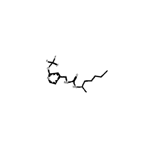 CCCCCC(C)NC(=O)NCc1ccnc(OC(F)(F)F)c1